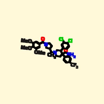 COc1cc(C(=O)N2CCC(C(C)N3CCC(C(N)=O)(c4ccc(C(F)(F)F)cc4)C(c4ccc(Cl)c(Cl)c4)C3)C2)cc(OC)c1OC